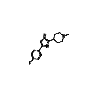 CN1CCC(c2nc(-c3ccc(F)cc3)c[nH]2)CC1